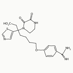 N=C(N)c1ccc(OCCCCC(CC(=O)O)(c2cncs2)N2CCNC(=O)C2=O)cc1